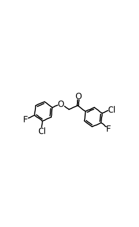 O=C(COc1ccc(F)c(Cl)c1)c1ccc(F)c(Cl)c1